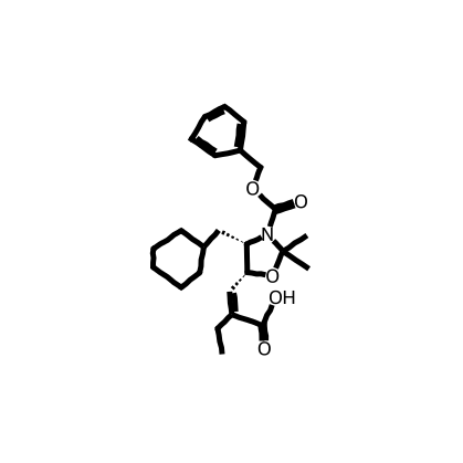 CCC(=C[C@H]1OC(C)(C)N(C(=O)OCc2ccccc2)[C@H]1CC1CCCCC1)C(=O)O